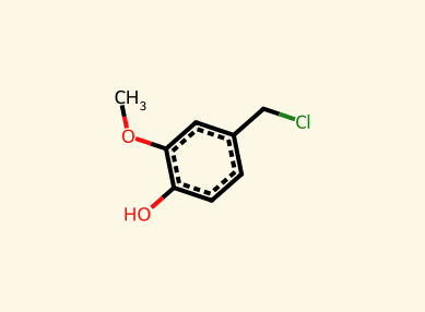 COc1cc(CCl)ccc1O